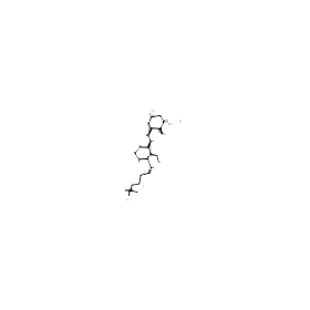 C=C1/C(=C\C=C2CCC[C@@]3(C)C2CC[C@@H]3[C@H](C)CCCC(C)(C)F)C[C@@H](O)C[C@H]1OC(C)=O